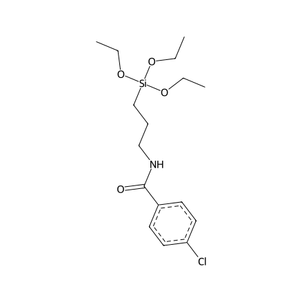 CCO[Si](CCCNC(=O)c1ccc(Cl)cc1)(OCC)OCC